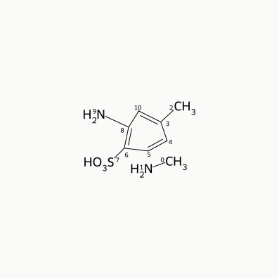 CN.Cc1ccc(S(=O)(=O)O)c(N)c1